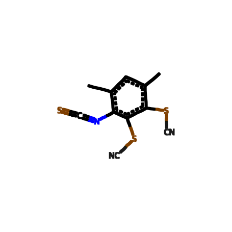 Cc1cc(C)c(SC#N)c(SC#N)c1N=C=S